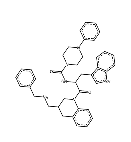 O=C(NC(Cc1c[nH]c2ccccc12)C(=O)N1CC(CNCc2ccccc2)Cc2ccccc21)N1CCN(c2ccccc2)CC1